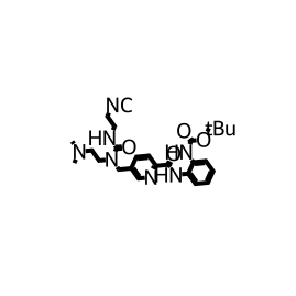 [C-]#[N+]CCNC(=O)N(CCN(C)C)Cc1ccc(C(=O)Nc2ccccc2NC(=O)OC(C)(C)C)nc1